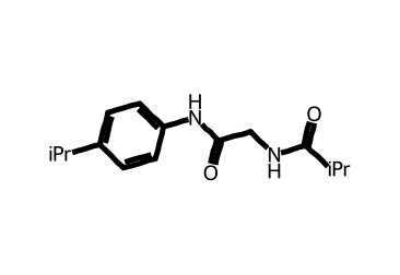 CC(C)C(=O)NCC(=O)Nc1ccc(C(C)C)cc1